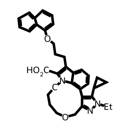 CCn1nc2c(c1C1CC1)-c1cccc3c(CCCOc4cccc5ccccc45)c(C(=O)O)n(c13)CCCCOC2